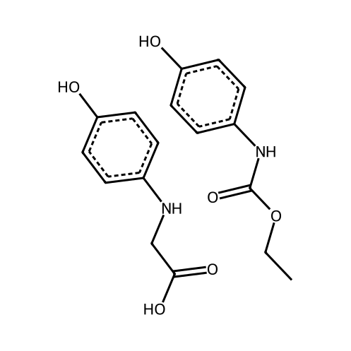 CCOC(=O)Nc1ccc(O)cc1.O=C(O)CNc1ccc(O)cc1